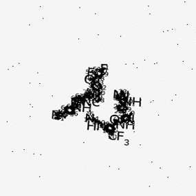 Cc1ncc(NC(=O)c2cc(NCCCN(C)C)cc(C(F)(F)F)c2)cc1-c1ccc2c(c1)[nH]c1ncncc12.N#CCC(CC1CCN(C(=O)c2ccc(F)cc2F)CC1)n1cc(-c2ccnc(Nc3ccc(-n4ccnc4)cc3)n2)cn1